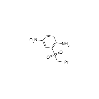 CC(C)CS(=O)(=O)c1cc([N+](=O)[O-])ccc1N